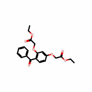 CCOC(=O)COc1ccc(C(=O)c2ccccc2)c(OCC(=O)OCC)c1